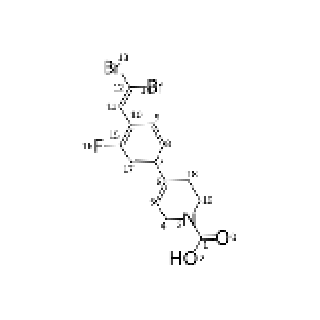 O=C(O)N1CC=C(c2ccc(C=C(Br)Br)c(F)c2)CC1